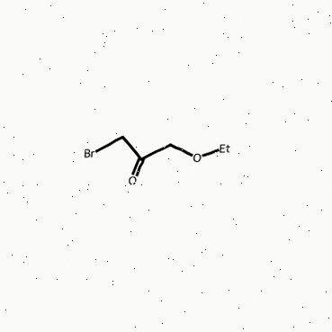 CCOCC(=O)CBr